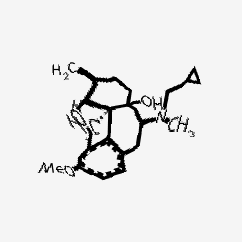 C=C1CCC2(O)C(N(C)CC3CC3)Cc3ccc(OC)c4c3[C@@]2(C)[C@H]1O4